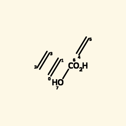 C=C.C=C.C=C.O=C(O)O